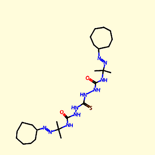 CC(C)(N=NC1CCCCCCC1)NC(=O)NNC(=S)NNC(=O)NC(C)(C)N=NC1CCCCCCC1